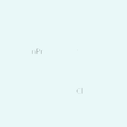 CCCC(CCl)C(C)(C)C